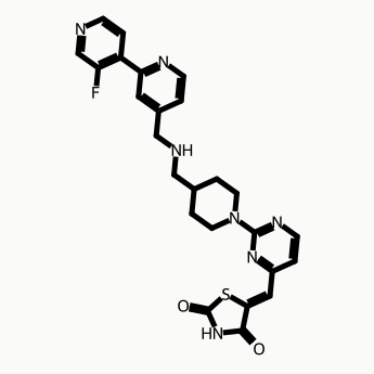 O=C1NC(=O)C(=Cc2ccnc(N3CCC(CNCc4ccnc(-c5ccncc5F)c4)CC3)n2)S1